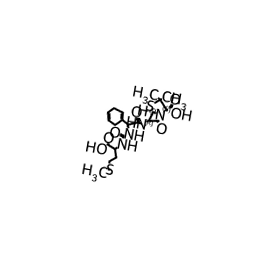 CSCCC(NC(=O)NC(C(=O)N[C@@H]1C(=O)N2[C@@H]1SC(C)(C)[C@@H]2C(=O)O)C1=CCC=CC1)C(=O)O